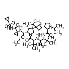 CC[C@@H]1C[C@]1(NC(=O)[C@@H]1C[C@@]2(CN1C(=O)[C@@H](NC(=O)[C@@H](NC(=O)[C@H]1CCCN1C(C)C)C(C)(C)C)C(C)(C)C)C(C)(C)C21CCC1)C(=O)NS(=O)(=O)C1CC1